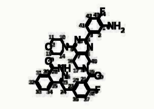 Nc1cc(-c2nc3c(c(N4CCOCC4)n2)CCN(C(=O)c2cc(Cc4n[nH]c(=O)c5ccccc45)ccc2F)C3)ccc1F